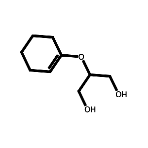 OCC(CO)OC1=CCCCC1